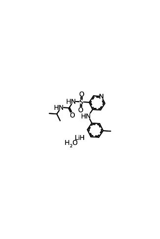 Cc1cccc(Nc2ccncc2S(=O)(=O)NC(=O)NC(C)C)c1.O.[LiH]